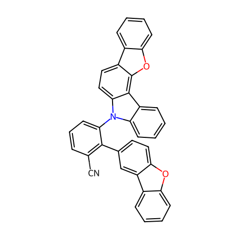 N#Cc1cccc(-n2c3ccccc3c3c4oc5ccccc5c4ccc32)c1-c1ccc2oc3ccccc3c2c1